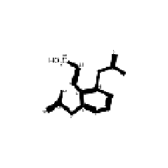 C=C(C)Cc1cccc(CC(=C)C)c1C=CC(=O)O